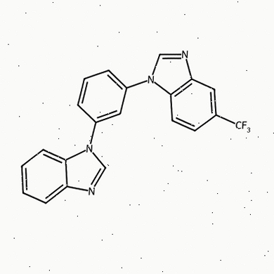 FC(F)(F)c1ccc2c(c1)ncn2-c1cccc(-n2cnc3ccccc32)c1